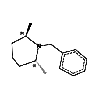 C[C@@H]1CCC[C@@H](C)N1Cc1ccccc1